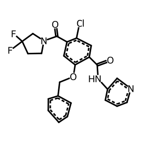 O=C(Nc1cccnc1)c1cc(Cl)c(C(=O)N2CCC(F)(F)C2)cc1OCc1ccccc1